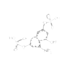 Nc1cc(OS(=O)(=O)O)cc2cc(OS(=O)(=O)O)cc(O)c12